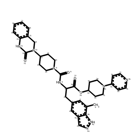 Cc1cc(CC(NC(=O)N2CCC(N3Cc4ccccc4NC3=O)CC2)C(=O)OC2CCN(c3ccncc3)CC2)cc2cn[nH]c12